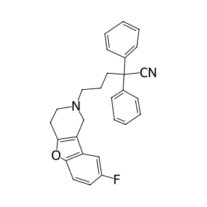 N#CC(CCCN1CCc2oc3ccc(F)cc3c2C1)(c1ccccc1)c1ccccc1